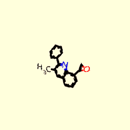 Cc1cc2cccc(C3CO3)c2nc1-c1ccccc1